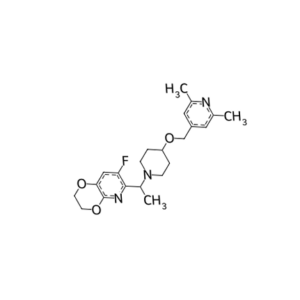 Cc1cc(COC2CCN(C(C)c3nc4c(cc3F)OCCO4)CC2)cc(C)n1